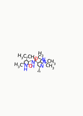 Cc1cc(C(C)C)c(CNC(=O)c2cc(C3CC3)nc3c2c(C)nn3C(C)C)c(=O)[nH]1